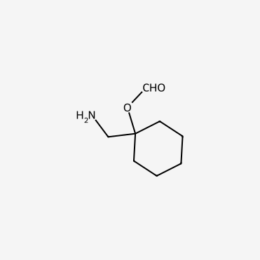 NCC1(OC=O)CCCCC1